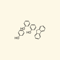 Oc1ccccc1.Oc1ccccc1.Oc1ccccc1.c1ccc2c(c1)Cc1ccccc1-2